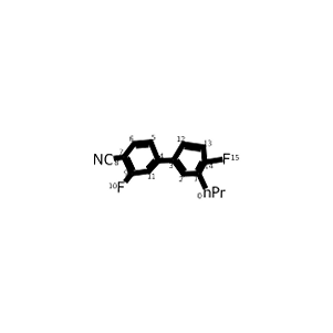 [CH2]CCc1cc(-c2ccc(C#N)c(F)c2)ccc1F